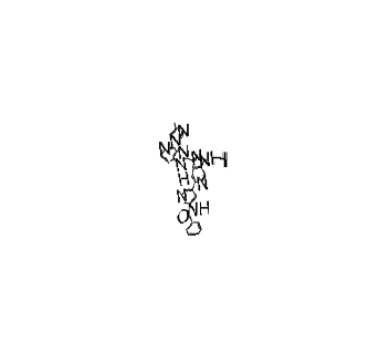 Cc1cn(-c2nccc3[nH]c(-c4n[nH]c5cnc(-c6cncc(NC(=O)c7ccccc7)c6)cc45)nc23)cn1